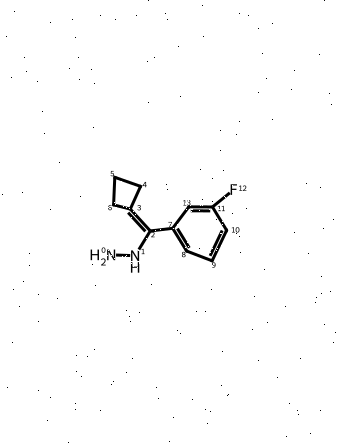 NNC(=C1CCC1)c1cccc(F)c1